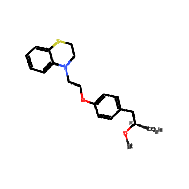 CCO[C@@H](Cc1ccc(OCCN2CCSc3ccccc32)cc1)C(=O)O